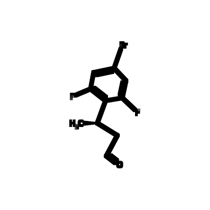 C[C@@H](CC=O)c1c(F)cc(Br)cc1F